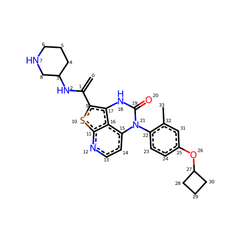 C=C(NC1CCCNC1)c1sc2nccc3c2c1NC(=O)N3c1ccc(OC2CCC2)cc1C